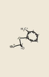 [CH2]c1ccccc1OC(=O)C(C)(C)C